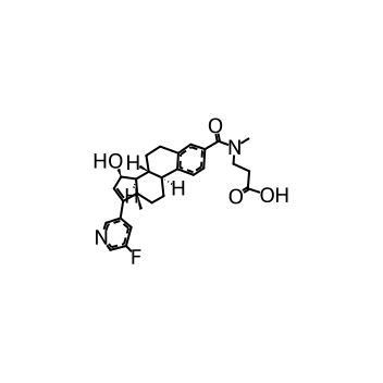 CN(CCC(=O)O)C(=O)c1ccc2c(c1)CC[C@H]1[C@@H]3[C@H](O)C=C(c4cncc(F)c4)[C@@]3(C)CC[C@H]21